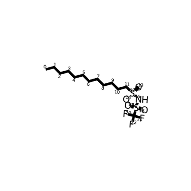 CCCCCCCCCCCCS(=O)(=O)NS(=O)(=O)C(F)(F)F